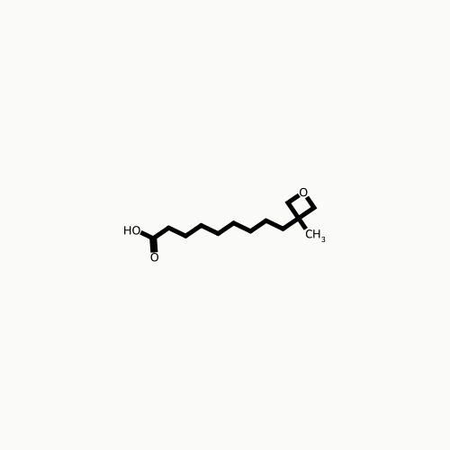 CC1(CCCCCCCCC(=O)O)COC1